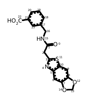 O=C(Cc1nc2cc3c(cc2s1)OCO3)NCc1cccc(C(=O)O)c1